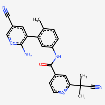 Cc1ccc(NC(=O)c2ccnc(C(C)(C)C#N)c2)cc1-c1cc(C#N)cnc1N